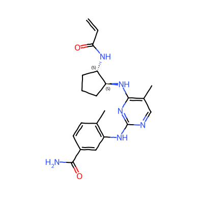 C=CC(=O)N[C@H]1CCC[C@@H]1Nc1nc(Nc2cc(C(N)=O)ccc2C)ncc1C